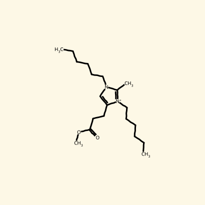 CCCCCCn1cc(CCC(=O)OC)[n+](CCCCCC)c1C